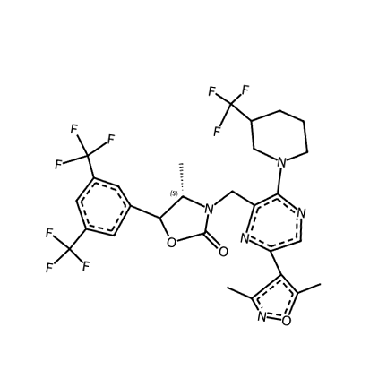 Cc1noc(C)c1-c1cnc(N2CCCC(C(F)(F)F)C2)c(CN2C(=O)OC(c3cc(C(F)(F)F)cc(C(F)(F)F)c3)[C@@H]2C)n1